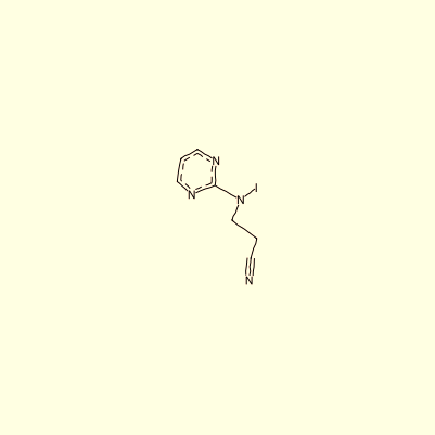 N#CCCN(I)c1ncccn1